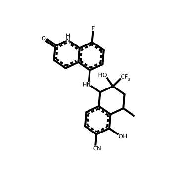 CC1CC(O)(C(F)(F)F)C(Nc2ccc(F)c3[nH]c(=O)ccc23)c2ccc(C#N)c(O)c21